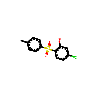 Cc1ccc(S(=O)(=O)c2ccc(Cl)cc2O)cc1